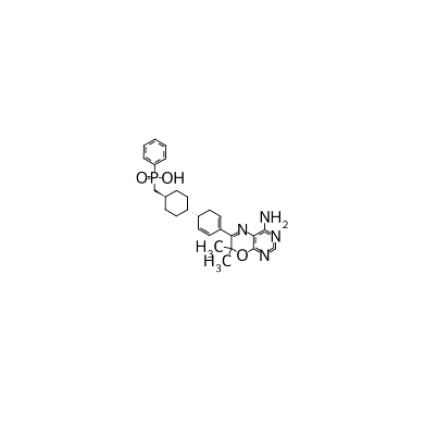 CC1(C)Oc2ncnc(N)c2N=C1C1=CCC([C@H]2CC[C@H](CP(=O)(O)c3ccccc3)CC2)C=C1